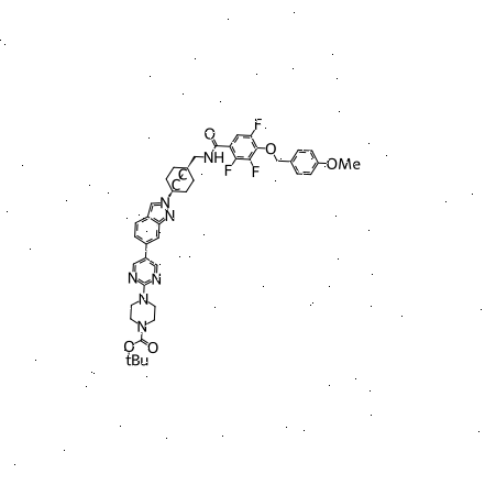 COc1ccc(COc2c(F)cc(C(=O)NC[C@]34CC[C@](n5cc6ccc(-c7cnc(N8CCN(C(=O)OC(C)(C)C)CC8)nc7)cc6n5)(CC3)CC4)c(F)c2F)cc1